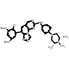 COc1cc(OC)c(Cl)c(-c2cc3cnc(Nc4ccc(N5C[C@@H](C)N(C)[C@@H](C)C5)cc4)nc3n3cnnc23)c1